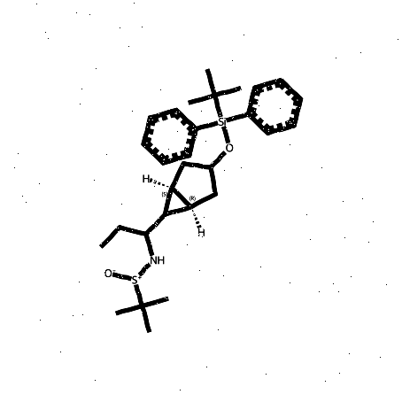 CCC(N[S+]([O-])C(C)(C)C)C1[C@H]2CC(O[Si](c3ccccc3)(c3ccccc3)C(C)(C)C)C[C@@H]12